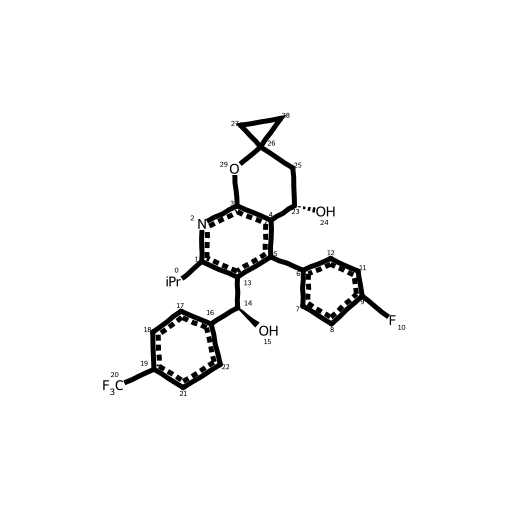 CC(C)c1nc2c(c(-c3ccc(F)cc3)c1[C@@H](O)c1ccc(C(F)(F)F)cc1)[C@@H](O)CC1(CC1)O2